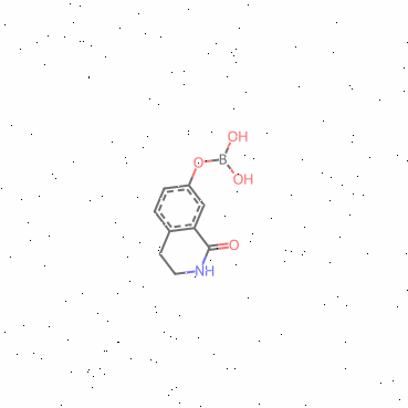 O=C1NCCc2ccc(OB(O)O)cc21